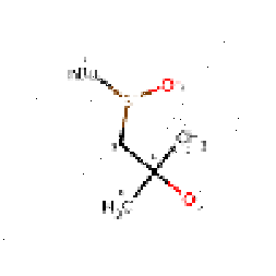 CCCC[S+]([O-])CC(C)(C)[O]